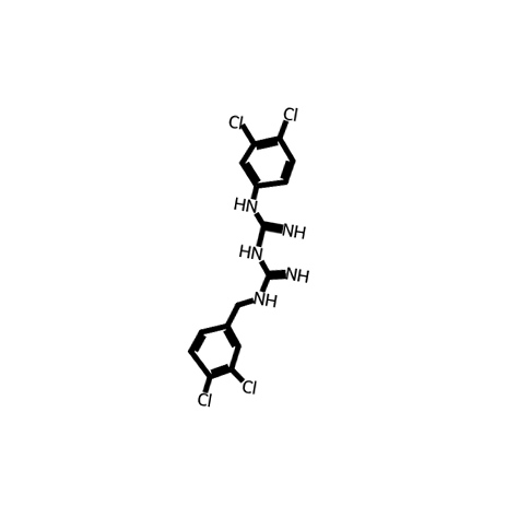 N=C(NCc1ccc(Cl)c(Cl)c1)NC(=N)Nc1ccc(Cl)c(Cl)c1